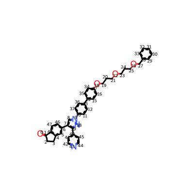 O=C1CCc2cc(-c3cn(-c4ccc(-c5ccc(OCCCOCCCOCc6ccccc6)cc5)cc4)nc3-c3ccncc3)ccc21